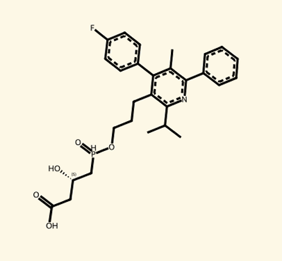 Cc1c(-c2ccccc2)nc(C(C)C)c(CCCO[PH](=O)C[C@@H](O)CC(=O)O)c1-c1ccc(F)cc1